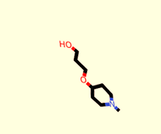 CN1CCC(OCCCO)CC1